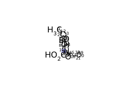 Cc1ccc(Oc2ccc(/C=C(\NC(=O)CCC3CCCC3)C(=O)O)cc2)c(Br)c1